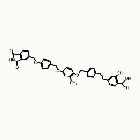 Cc1cc(OCc2ccc(OCc3ccc4c(c3)C(=O)NC4=O)cc2)ccc1OCc1ccc(OCc2ccc(C(C)O)c(C)c2)cc1